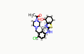 CC(=O)N1CCN(Cc2c(Cl)ccc(Nc3nc4c(s3)CCCC4O)c2C)CC1